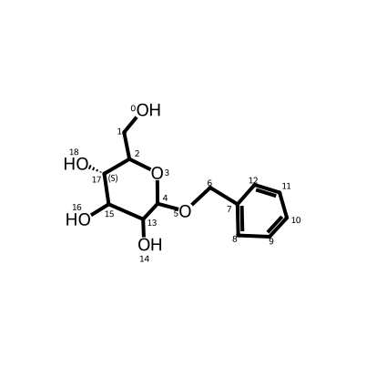 OCC1OC(OCc2ccccc2)C(O)C(O)[C@@H]1O